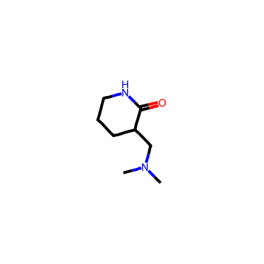 CN(C)CC1CCCNC1=O